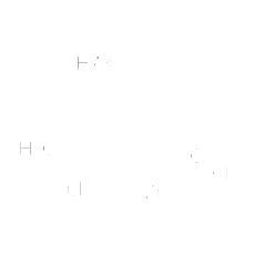 CC1=[C]([Zr+3])C=C[AsH]1.[Cl-].[Cl-].[Cl-]